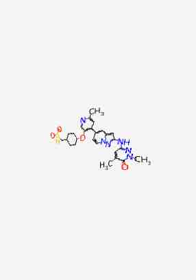 Cc1cc(-c2ccn3nc(Nc4cc(C)c(=O)n(C)n4)cc3c2)c(O[C@H]2CC[C@H](C[SH](=O)=O)CC2)cn1